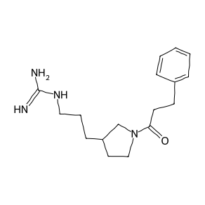 N=C(N)NCCCC1CCN(C(=O)CCc2ccccc2)C1